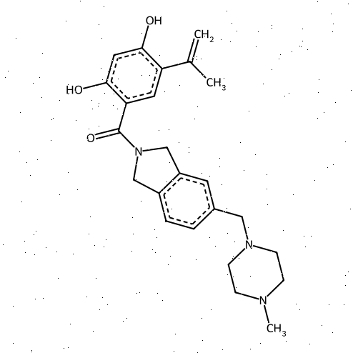 C=C(C)c1cc(C(=O)N2Cc3ccc(CN4CCN(C)CC4)cc3C2)c(O)cc1O